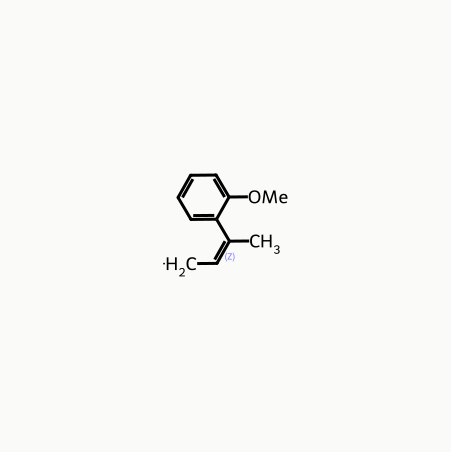 [CH2]/C=C(/C)c1ccccc1OC